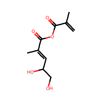 C=C(C)C(=O)OC(=O)C(C)=CC(O)CO